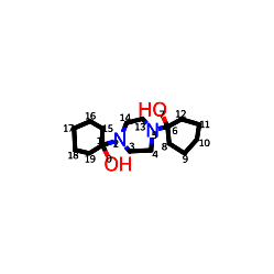 OC1(N2CCN(C3(O)CCCCC3)CC2)CCCCC1